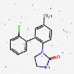 O=C1NCCN1c1ccc(S(=O)(=O)O)cc1-c1ccccc1Cl